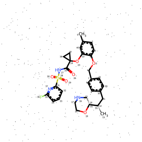 Cc1ccc(OCc2ccc(C[C@H](C)[C@H]3CNCCO3)cc2)c(OC2(C(=O)NS(=O)(=O)c3cccc(F)n3)CC2)c1